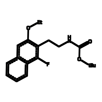 CCOc1cc2ccccc2c(F)c1CCNC(=O)OC(C)(C)C